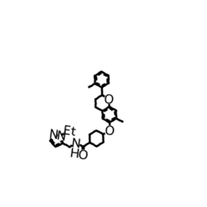 CCn1nccc1CNC(=O)C1CCC(Oc2cc3c(cc2C)OC(c2ccccc2C)CC3)CC1